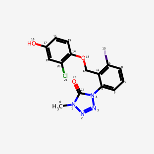 Cn1nnn(-c2cccc(I)c2COc2ccc(O)cc2Cl)c1=O